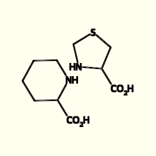 O=C(O)C1CCCCN1.O=C(O)C1CSCN1